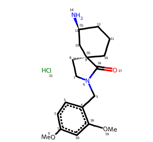 COc1ccc(CN2CC[C@]3(CCC[C@H](N)C3)C2=O)c(OC)c1.Cl